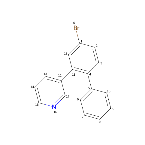 Brc1ccc(-c2ccccc2)c(-c2cccnc2)c1